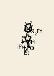 CCOC(=O)N1C2CCC1CC(N1C[C@@H]3C(C(=O)N(CC)C(C)C)[C@@H]3C1)C2